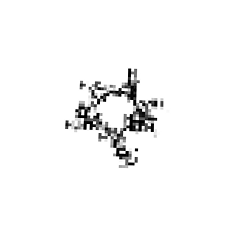 CC(C)C[C@@H]1NC(=O)[C@@H](Cc2ccccc2)NC(=O)[C@H](CCN)NC(=O)[C@@H](NC(=O)Cc2ccc(Cl)c(Cl)c2)CCNC(=O)[C@H]([C@@H](C)O)NC(=O)[C@H](CCN)NC(=O)[C@H](CCN)NC1=O